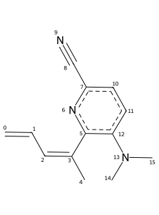 C=C/C=C(/C)c1nc(C#N)ccc1N(C)C